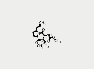 C=CC[C@@H]1CC[C@@H](C(=O)OC)N1C(=O)[C@H](CC=C)NC(=O)OC